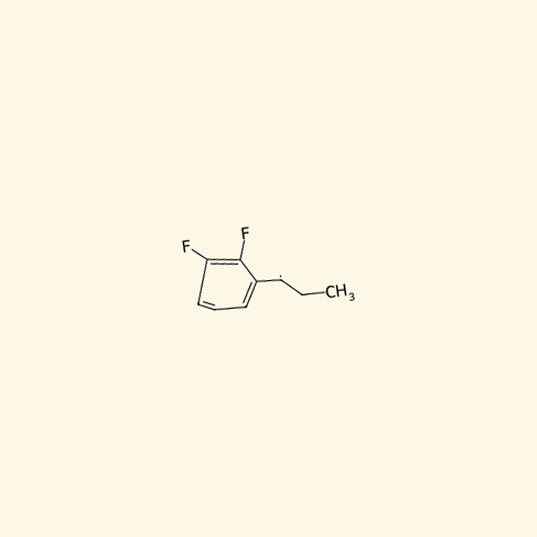 CC[CH]c1cccc(F)c1F